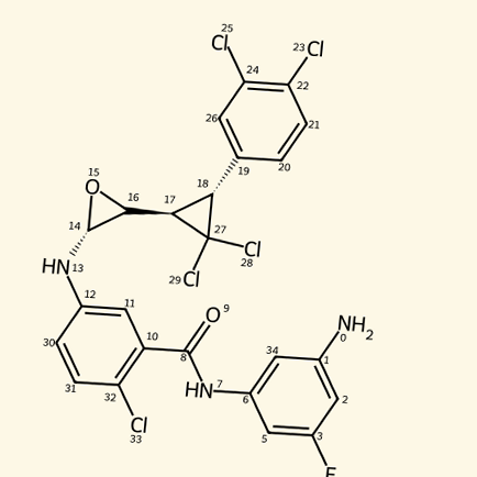 Nc1cc(F)cc(NC(=O)c2cc(N[C@@H]3OC3[C@H]3[C@H](c4ccc(Cl)c(Cl)c4)C3(Cl)Cl)ccc2Cl)c1